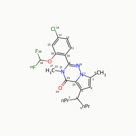 CCCC(CCC)c1cc(C)n2nc(-c3ccc(Cl)cc3OC(F)F)n(C)c(=O)c12